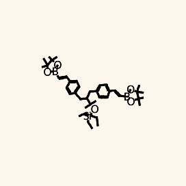 CC[Si](CC)(CC)OC(C)(C)C(Cc1ccc(C=CB2OC(C)(C)C(C)(C)O2)cc1)Cc1ccc(C=CB2OC(C)(C)C(C)(C)O2)cc1